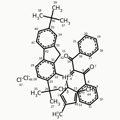 CC1=C[CH]([Hf+2](=[C](C(=O)c2ccccc2)C(=O)c2ccccc2)[c]2c(C(C)(C)C)ccc3c2Cc2cc(C(C)(C)C)ccc2-3)C(C)=C1.[Cl-].[Cl-]